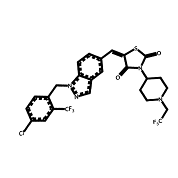 O=C1SC(=Cc2ccc3c(cnn3Cc3ccc(Cl)cc3C(F)(F)F)c2)C(=O)N1C1CCN(CC(F)(F)F)CC1